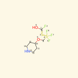 OC(F)=S=S(F)(F)(F)COC1CCNCC1